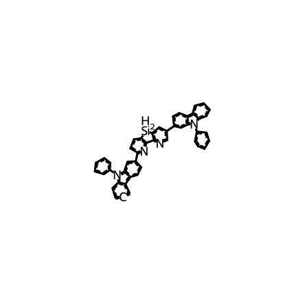 c1ccc(-n2c3ccccc3c3ccc(-c4cnc5c(c4)[SiH2]c4ccc(-c6ccc7c8ccccc8n(-c8ccccc8)c7c6)nc4-5)cc32)cc1